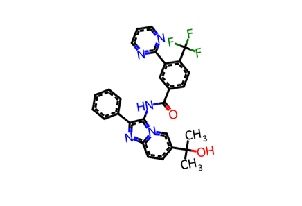 CC(C)(O)c1ccc2nc(-c3ccccc3)c(NC(=O)c3ccc(C(F)(F)F)c(-c4ncccn4)c3)n2c1